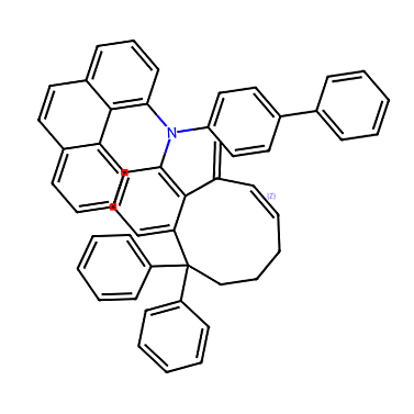 C=C1/C=C\CCCC(c2ccccc2)(c2ccccc2)c2cccc(N(c3ccc(-c4ccccc4)cc3)c3cccc4ccc5ccccc5c34)c21